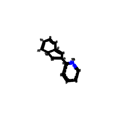 C1=CC2=CC(c3ccccn3)=CC2C=C1